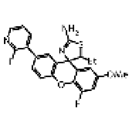 CCC1SC(N)=NC12c1cc(-c3cccnc3F)ccc1Oc1c(F)cc(OC)cc12